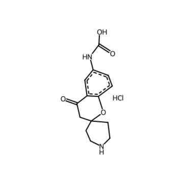 Cl.O=C(O)Nc1ccc2c(c1)C(=O)CC1(CCNCC1)O2